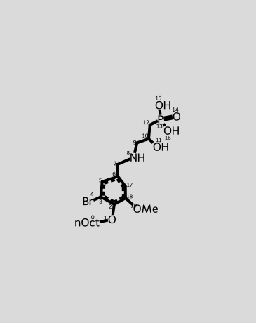 CCCCCCCCOc1c(Br)cc(CNCC(O)CP(=O)(O)O)cc1OC